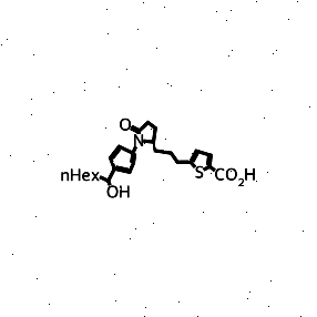 CCCCCCC(O)c1ccc(N2C(=O)CC[C@H]2CCCc2ccc(C(=O)O)s2)cc1